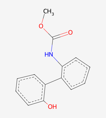 COC(=O)Nc1ccccc1-c1ccccc1O